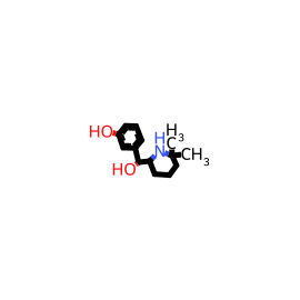 CC1(C)CCCC(C(O)c2cccc(O)c2)N1